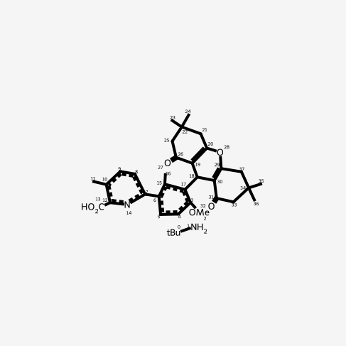 CC(C)(C)N.COc1ccc(-c2ccc(C)c(C(=O)O)n2)c(C)c1C1C2=C(CC(C)(C)CC2=O)OC2=C1C(=O)CC(C)(C)C2